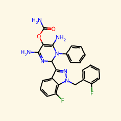 NC(=O)OC1=C(N)N(c2ccccc2)C(c2nn(Cc3ccccc3F)c3c(F)cccc23)N=C1N